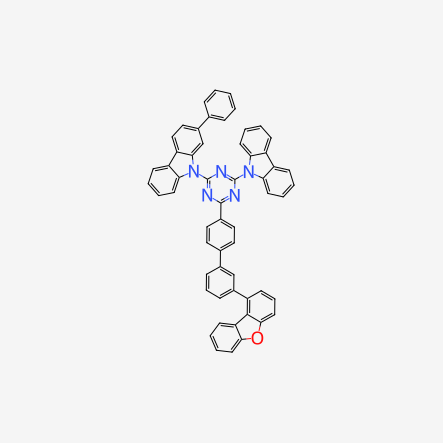 c1ccc(-c2ccc3c4ccccc4n(-c4nc(-c5ccc(-c6cccc(-c7cccc8oc9ccccc9c78)c6)cc5)nc(-n5c6ccccc6c6ccccc65)n4)c3c2)cc1